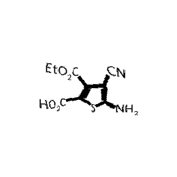 CCOC(=O)c1c(C(=O)O)sc(N)c1C#N